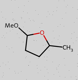 COC1CCC(C)O1